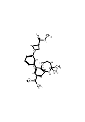 COC(=O)C1CN(c2cccc(-c3cc(C(C)C)cc4c3NCCC(C)(C)O4)c2)C1